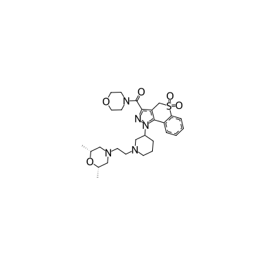 C[C@@H]1CN(CCN2CCCC(n3nc(C(=O)N4CCOCC4)c4c3-c3ccccc3S(=O)(=O)C4)C2)C[C@H](C)O1